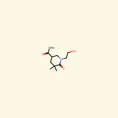 COC(=O)C1CN(CCO)C(=O)C(C)(C)C1